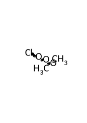 COC(C)OCOCCl